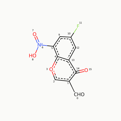 O=Cc1coc2c([N+](=O)O)cc(F)cc2c1=O